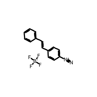 F[B-](F)(F)F.N#[N+]c1ccc(C=Cc2ccccc2)cc1